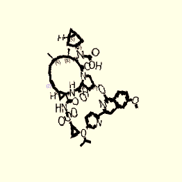 COc1ccc2c(O[C@@H]3C[C@H]4C(=O)N[C@]5(C(=O)NS(=O)(=O)C6CC6)C[C@H]5/C=C\CC[C@@H](C)C[C@@H](C)[C@H](N(C(=O)O)[C@H]5CC6C[C@H]6C5)C(=O)N4C3)nc(-c3ccc(OC(C)C)cn3)cc2c1